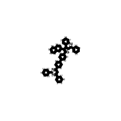 c1ccc(-c2cc(-c3ccc(-c4ccc(-c5sc6c(-c7ccccc7)nc7ccccc7c6c5-c5ccc6ccccc6c5)cc4)cc3)nc(-c3ccccc3)n2)cc1